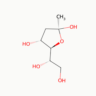 C[C@@]1(O)C[C@@H](O)[C@H]([C@@H](O)CO)O1